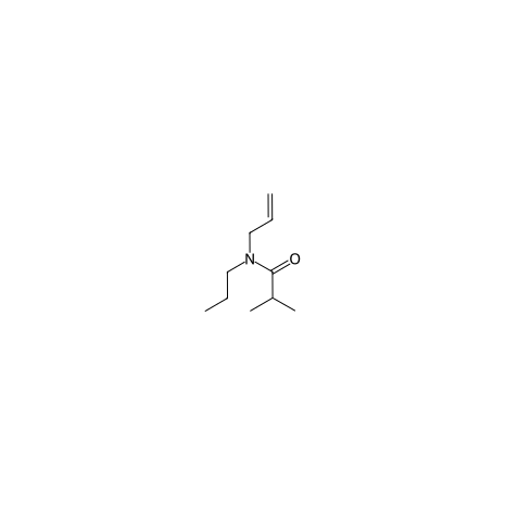 C=CCN(CCC)C(=O)C(C)C